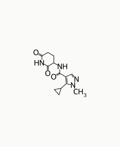 Cn1ncc(C(=O)NC2CCC(=O)NC2=O)c1C1CC1